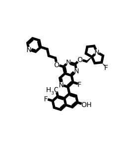 CC1=c2c(-c3ncc4c(OCCCc5cccnc5)nc(OC[C@@]56CCCN5C[C@H](F)C6)nc4c3F)cc(O)cc2=CCC1F